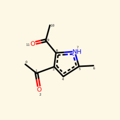 CC(=O)c1cc(C)[nH]c1C(C)=O